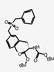 Cc1ccc(CS(=O)(=O)Cc2ccccc2)cc1C[C@H](NC(=O)OC(C)(C)C)C(=O)OC(C)(C)C